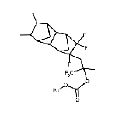 CC1C(C)C2CC1C1C2C2CC1C(F)(F)C2(F)CC(C)(OC(=O)OC(C)(C)C)C(F)(F)F